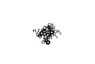 COCOc1c(OC)c(C)cc2c1[C@@H]1[C@@H]3Cc4c(OC(C)=O)c(C)c5c(c4[C@H](CN4C(=O)c6ccccc6C4=O)N3[C@@H](C#N)[C@H](C2)N1C)OCO5